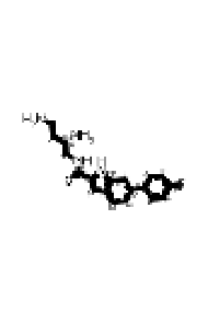 NCC[C@H](N)CNC(=O)c1cc2ccc(-c3ccc(F)cc3)cc2[nH]1